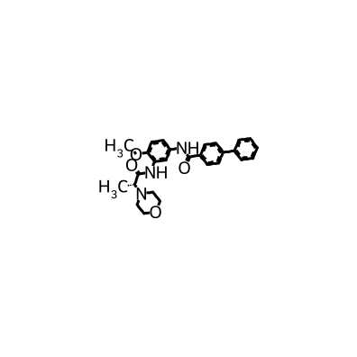 COc1ccc(NC(=O)c2ccc(-c3ccccc3)cc2)cc1NC(=O)[C@@H](C)N1CCOCC1